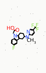 CN(c1ccc(C(F)(F)F)cn1)C1CCc2c(c3cc(F)ccc3n2CC(=O)O)C1